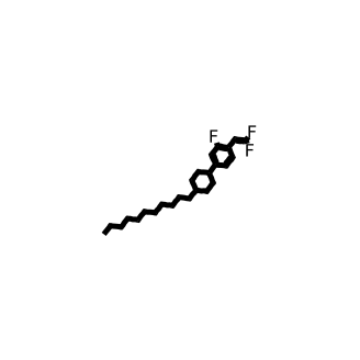 CCCCCCCCCCCC1CCC(c2ccc(C=C(F)F)c(F)c2)CC1